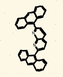 c1ccc2c(-c3ccc4ccc(-c5c6ccccc6cc6ccccc56)nc4n3)c3ccccc3cc2c1